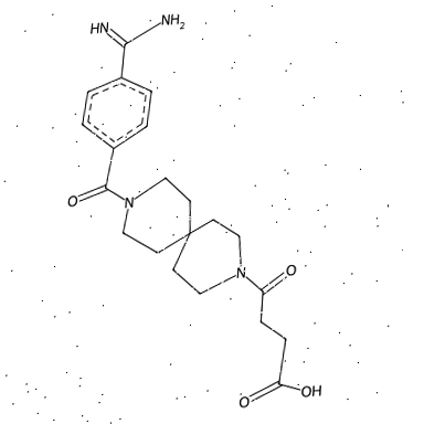 N=C(N)c1ccc(C(=O)N2CCC3(CCN(C(=O)CCC(=O)O)CC3)CC2)cc1